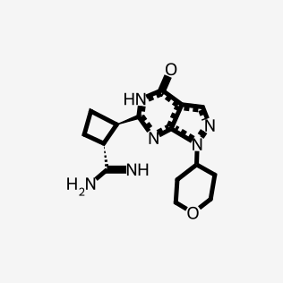 N=C(N)[C@@H]1CC[C@H]1c1nc2c(cnn2C2CCOCC2)c(=O)[nH]1